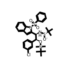 CC(C)(C)[S+]([O-])N[C@H](c1cc2ccccc2n1S(=O)(=O)c1ccccc1)[C@@H](O[Si](C)(C)C(C)(C)C)c1cccc(Cl)c1